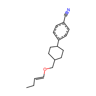 CCC=COCC1CCC(c2ccc(C#N)cc2)CC1